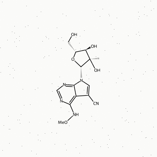 CONc1ncnc2c1c(C#N)cn2[C@@H]1O[C@H](CO)[C@@H](O)[C@@]1(C)O